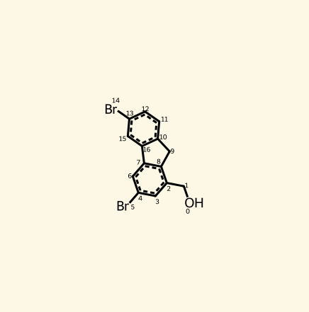 OCc1cc(Br)cc2c1Cc1ccc(Br)cc1-2